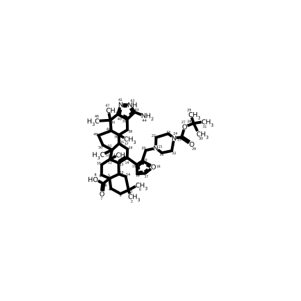 CC1(C)CCC2(C(=O)O)CCC3(C)C(=C(c4ccoc4CN4CCN(C(=O)OC(C)(C)C)CC4)CC4C5(C)Cc6c(n[nH]c6N)C(C)(C)C5CCC43C)C2C1